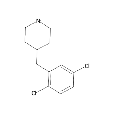 Clc1ccc(Cl)c(CC2CC[N]CC2)c1